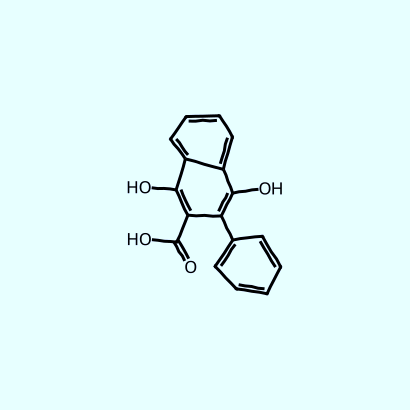 O=C(O)c1c(-c2ccccc2)c(O)c2ccccc2c1O